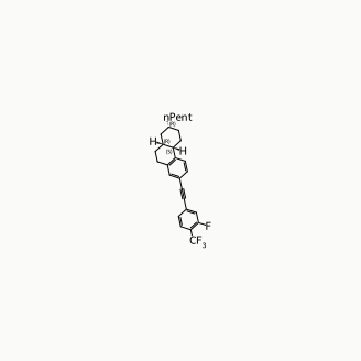 CCCCC[C@@H]1CC[C@@H]2c3ccc(C#Cc4ccc(C(F)(F)F)c(F)c4)cc3CC[C@@H]2C1